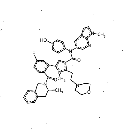 C[C@@H]1Cc2ccccc2CN1C(=O)c1ccc(F)cc1-c1cc(C(=O)N(c2ccc(O)cc2)c2cnc3c(ccn3C)c2)c(CCN2CCOCC2)n1C